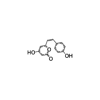 O=c1cc(O)cc(/C=C\c2ccc(O)cc2)o1